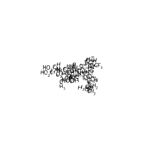 Cc1cc(CC(=O)N[C@H](CC(=O)O)C(=O)O)c(C(C)(C)CC(=O)NS(=O)(=O)Cc2nn(CC(F)(F)F)c3c(-c4ccc(C#CC(C)(C)S(C)(=O)=O)nc4[C@H](Cc4cc(F)cc(F)c4)NC(=O)Cn4nc(C(F)(F)F)c5c4C(F)(F)[C@@H]4C[C@H]54)ccc(Cl)c23)c(OP(=O)(O)O)c1